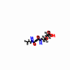 CC(C)CCNC(=O)C#CC(=O)NCCC(C)(C)OCC(C)(C)C(=O)O